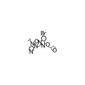 O=c1n(Cc2nc(OCC3CCOC3)c3ccc(Br)cc3n2)c2cnccc2n1C1CC1